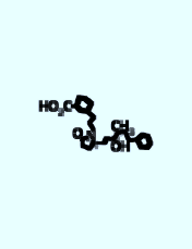 C[C@@H](CCc1ccccc1)[C@@H](O)C=C[C@H]1CCC(=O)N1CCCc1cccc(C(=O)O)c1